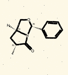 C[C@@H]1C[C@H]2CO[C@H](c3ccccc3)N2C1=O